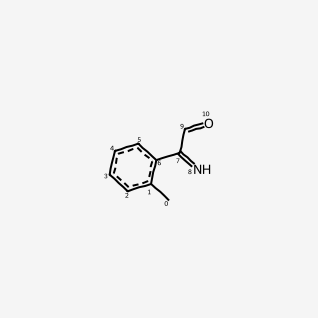 Cc1ccccc1C(=N)C=O